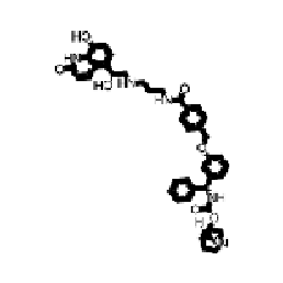 O=C(NC(c1ccccc1)c1cccc(OCc2ccc(C(=O)NCCCNC[C@H](O)c3ccc(O)c4[nH]c(=O)ccc34)cc2)c1)O[C@H]1CN2CCC1CC2